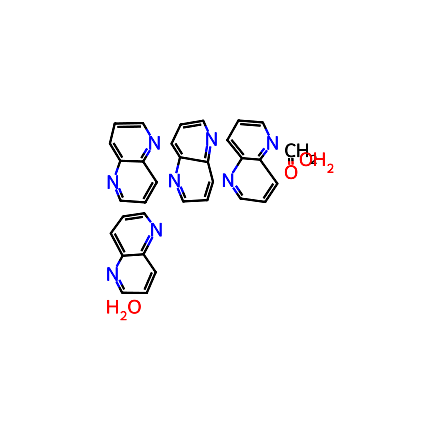 C=O.O.O.c1cnc2cccnc2c1.c1cnc2cccnc2c1.c1cnc2cccnc2c1.c1cnc2cccnc2c1